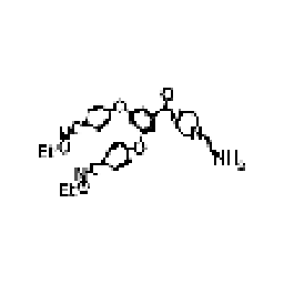 CCON=C=C1C=CC(Oc2cc(OC3C=CC(=C=NOCC)C=C3)cc(C(=O)N3CCN(CCN)CC3)c2)C=C1